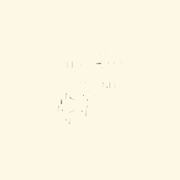 Nc1ncnc2c1ncn2[C@@H]1O[C@H](CO)[C@@H](OP(=O)(O)O)[C@@]1(N)O